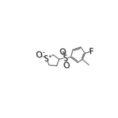 Cc1cc(S(=O)(=O)C2CC[S+]([O-])C2)ccc1F